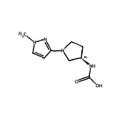 Cn1ccc(N2CC[C@@H](NC(=O)O)C2)n1